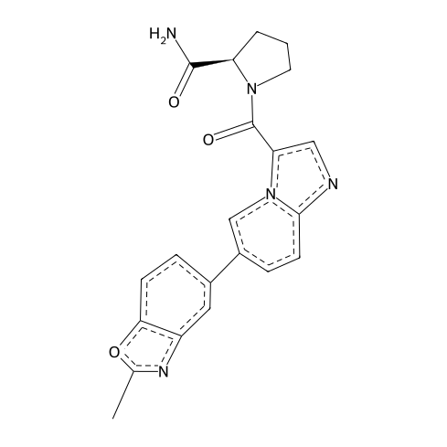 Cc1nc2cc(-c3ccc4ncc(C(=O)N5CCC[C@@H]5C(N)=O)n4c3)ccc2o1